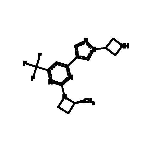 C[C@H]1CCN1c1nc(-c2cnn(C3CNC3)c2)cc(C(F)(F)F)n1